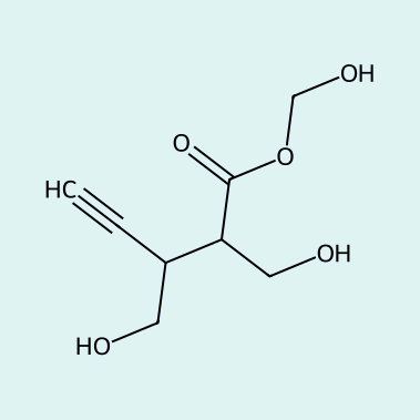 C#CC(CO)C(CO)C(=O)OCO